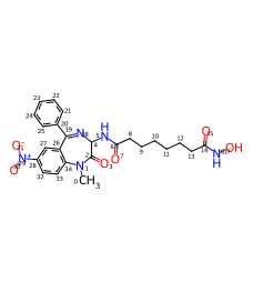 CN1C(=O)C(NC(=O)CCCCCCC(=O)NO)N=C(c2ccccc2)c2cc([N+](=O)[O-])ccc21